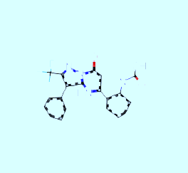 CC(=O)Nc1ccccc1-c1cc(=O)n2nc(C(F)(F)F)c(-c3ccccc3)c2[nH]1